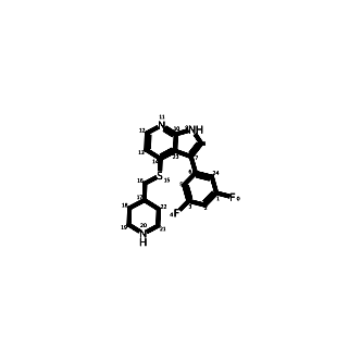 Fc1cc(F)cc(-c2c[nH]c3nccc(SCC4CCNCC4)c23)c1